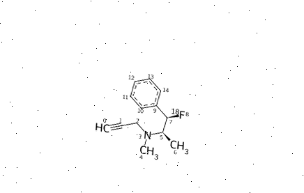 C#CCN(C)[C@H](C)[C@H]([18F])c1ccccc1